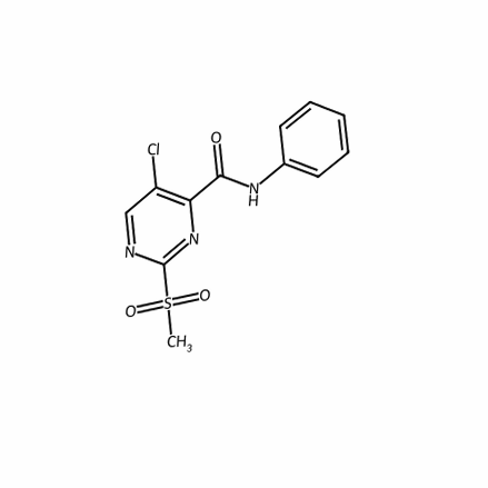 CS(=O)(=O)c1ncc(Cl)c(C(=O)Nc2ccccc2)n1